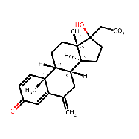 C=C1C[C@@H]2[C@@H](CC[C@@]3(C)[C@H]2CCC3(O)CC(=O)O)[C@@]2(C)C=CC(=O)C=C12